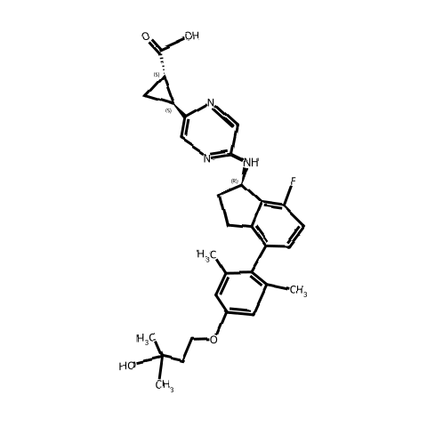 Cc1cc(OCCC(C)(C)O)cc(C)c1-c1ccc(F)c2c1CC[C@H]2Nc1cnc([C@H]2C[C@@H]2C(=O)O)cn1